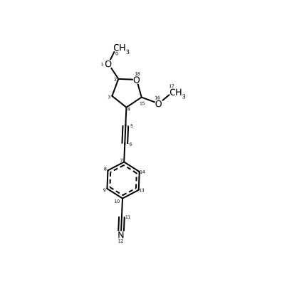 COC1CC(C#Cc2ccc(C#N)cc2)C(OC)O1